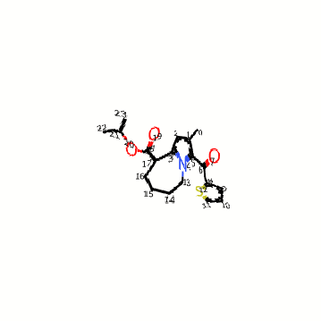 Cc1cc2n(c1C(=O)c1cccs1)CCCCC2C(=O)OC(C)C